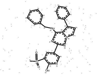 CS(=O)(=O)c1cc(-c2nc(NCc3ccccc3)c3c(-c4ccccc4)ccn3n2)cnc1O